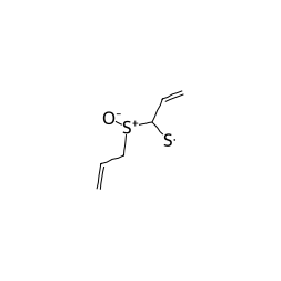 C=CC[S+]([O-])C([S])C=C